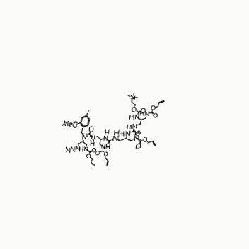 C=CCOC(=O)NC[C@@H](CNC(=O)N[C@@H](CNC(=O)OCC=C)CNC(=O)N(Cc1ccc(C)cc1OC)[C@H](CN=[N+]=[N-])CNC(=O)OCC=C)NC(=O)NC[C@H](CNC(=O)OCC=C)NC(=O)OCC[Si](C)(C)C